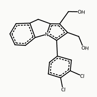 OCc1c(CO)c(-c2ccc(Cl)c(Cl)c2)n2c1Cc1ccccc1-2